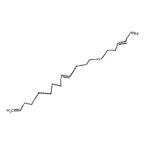 C=CCCCCCC/C=C/CCCCCC/C=C/CCCCCC